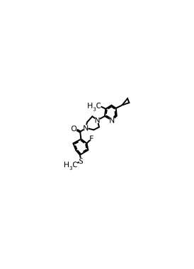 CSc1ccc(C(=O)N2CCN(c3ncc(C4CC4)cc3C)CC2)c(F)c1